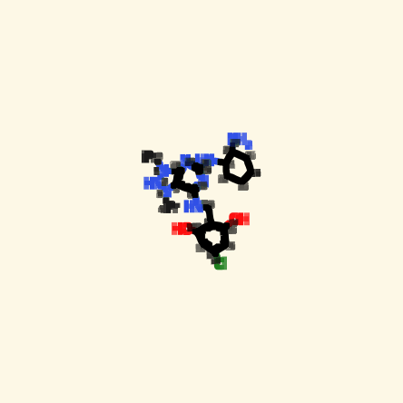 CC(C)N1NN(C(C)C)c2c(NCc3c(O)cc(Cl)cc3O)nc(NC3CCCCC3N)nc21